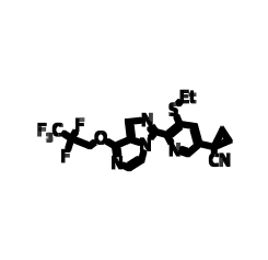 CCSc1cc(C2(C#N)CC2)cnc1-c1ncc2c(OCC(F)(F)C(F)(F)F)nccn12